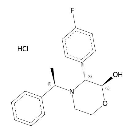 C[C@H](c1ccccc1)N1CCO[C@H](O)[C@H]1c1ccc(F)cc1.Cl